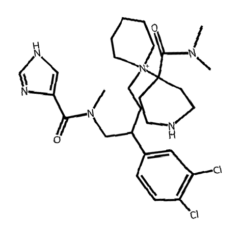 CN(C)C(=O)C1([N+]2(CCC(CN(C)C(=O)c3c[nH]cn3)c3ccc(Cl)c(Cl)c3)CCCCC2)CCNCC1